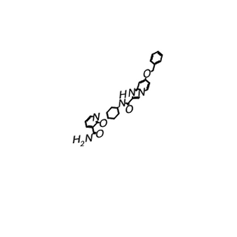 NC(=O)c1cccnc1O[C@H]1CC[C@H](NC(=O)c2cn3ccc(OCc4ccccc4)cc3n2)CC1